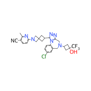 Cc1nc(N2CC3(CC(c4nnc5n4-c4ccc(Cl)cc4CN(C4CC(O)(C(F)(F)F)C4)C5)C3)C2)ccc1C#N